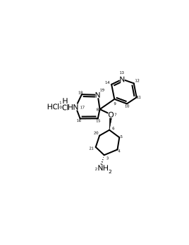 Cl.Cl.N[C@H]1CC[C@H](OC2(c3cccnc3)C=CNC=N2)CC1